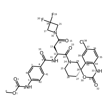 COC(=O)Nc1ccc(C(=O)N[C@@H](CC(=O)N2CC(F)(F)C2)C(=O)N2CCC[C@@]3(C2)OC(=O)Nc2ccc(Cl)cc23)cc1